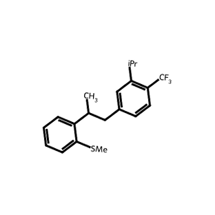 CSc1ccccc1C(C)Cc1ccc(C(F)(F)F)c(C(C)C)c1